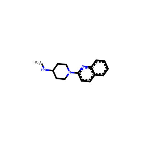 O=C(O)NC1CCN(c2ccc3ccccc3n2)CC1